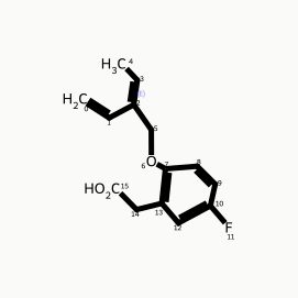 C=C/C(=C\C)COc1ccc(F)cc1CC(=O)O